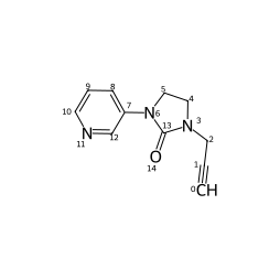 C#CCN1CCN(c2cccnc2)C1=O